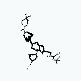 CC(C)(C)OC(=O)NCc1cc2cc(-c3ccc(C(=O)N4CCC(F)(F)CC4)cc3)cc(-c3ccc(F)cc3)c2s1